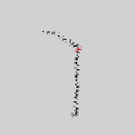 CCCCCCC=CCCCCCCCCCCCC(=O)OCCCCCCCCCCCCCCCCCCCCCCCCCCCCCC(C)CC